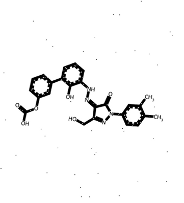 Cc1ccc(N2N=C(CO)C(=NNc3cccc(-c4cccc(OC(=O)O)c4)c3O)C2=O)cc1C